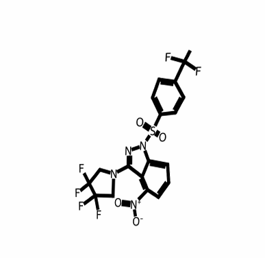 CC(F)(F)c1ccc(S(=O)(=O)n2nc(N3CC(F)(F)C(F)(F)C3)c3c([N+](=O)[O-])cccc32)cc1